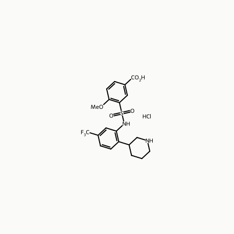 COc1ccc(C(=O)O)cc1S(=O)(=O)Nc1cc(C(F)(F)F)ccc1C1CCCNC1.Cl